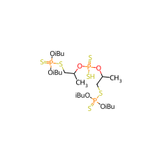 CC(C)COP(=S)(OCC(C)C)SCC(C)OP(=S)(S)OC(C)CSP(=S)(OCC(C)C)OCC(C)C